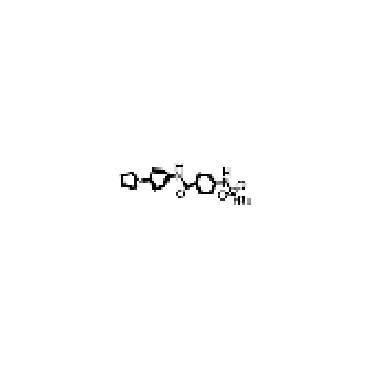 CC(C)(C)S(=O)(=O)NC1CCC(C(=O)Nc2ccc(N3CCCC3)cc2)CC1